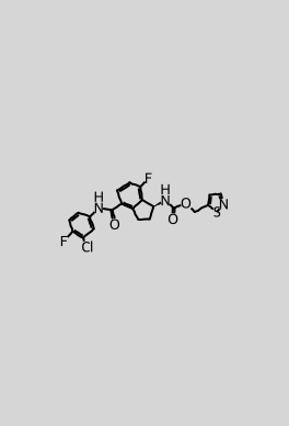 O=C(N[C@H]1CCc2c(C(=O)Nc3ccc(F)c(Cl)c3)ccc(F)c21)OCc1ccns1